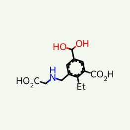 CCc1c(CNCC(=O)O)cc(C(O)O)cc1C(=O)O